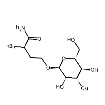 CCCCC(CCO[C@H]1O[C@H](CO)[C@@H](O)[C@H](O)[C@@H]1O)C(N)=O